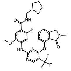 COc1cc(C(=O)NCC2CCCO2)c(F)cc1Nc1ncc(C(F)(F)F)c(Oc2cccc3c2C(=O)N(C)C3)n1